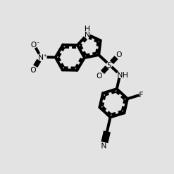 N#Cc1ccc(NS(=O)(=O)c2c[nH]c3cc([N+](=O)[O-])ccc23)c(F)c1